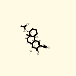 CC(=O)O[C@@H]1CCC=C2C1(C)CCC1[C@@H](C)C(=O)C(C#N)=C[C@]21C